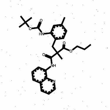 CCCOC(=O)C(C)(Cc1ccc(C)cc1NC(=O)OC(C)(C)C)C(=O)Nc1cccc2cccnc12